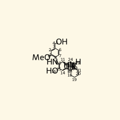 COc1cc(CO)ccc1Nc1cc2c(cc1O)[C@]13CCCC[C@@H]1[C@H](C2)NCC3